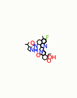 CC[C@@]1(O)C(=O)CCc2c1cc1n(c2=O)Cc2c-1nc1cc(F)c(C)c3c1c2[C@@H](NC(=O)[C@@H]1NCCC1C(C)C)CC3